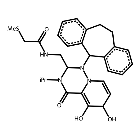 CSCC(=O)NCC1N(C(C)C)C(=O)C2=C(O)C(O)C=CN2N1C1c2ccccc2CCc2ccccc21